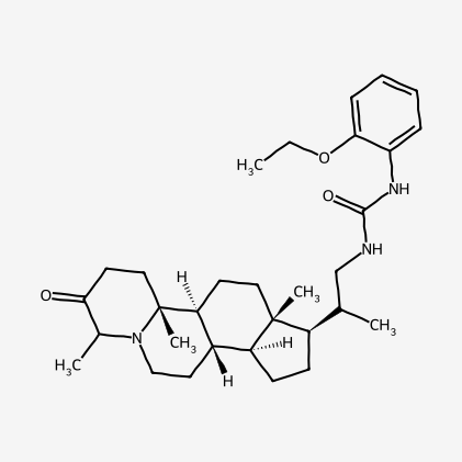 CCOc1ccccc1NC(=O)NCC(C)[C@H]1CC[C@H]2[C@@H]3CCN4C(C)C(=O)CC[C@]4(C)[C@H]3CC[C@]12C